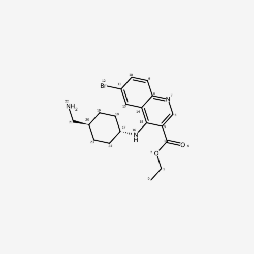 CCOC(=O)c1cnc2ccc(Br)cc2c1N[C@H]1CC[C@H](CN)CC1